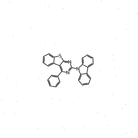 c1ccc(-c2nc(-n3c4ccccc4c4ccccc43)nc3sc4ccccc4c23)cc1